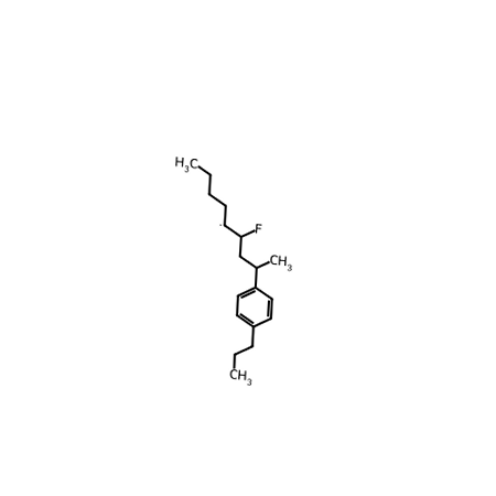 CCCC[CH]C(F)CC(C)c1ccc(CCC)cc1